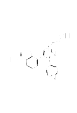 O=C(O)c1cccc(-c2cn(CCO)nc2-c2ccncc2)c1Cl